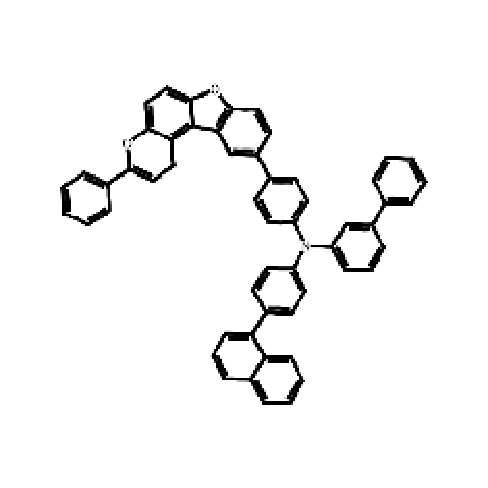 C1=C(c2ccccc2)Oc2ccc3oc4ccc(-c5ccc(N(c6ccc(-c7cccc8ccccc78)cc6)c6cccc(-c7ccccc7)c6)cc5)cc4c3c2C1